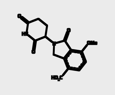 COc1ccc(C(=O)O)c2c1C(=O)N(C1CCC(=O)NC1=O)C2